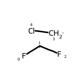 F[CH]F.[CH2]Cl